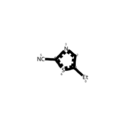 [CH2]Cc1cnc(C#N)s1